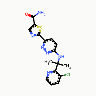 CC(C)(Nc1ccc(-c2ncc(C(N)=O)s2)nn1)c1ncccc1Cl